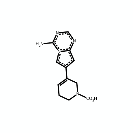 Nc1ncnc2cc(C3=CCCN(C(=O)O)C3)cn12